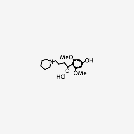 COc1cc(O)cc(OC)c1C(=O)CCCN1CCCCC1.Cl